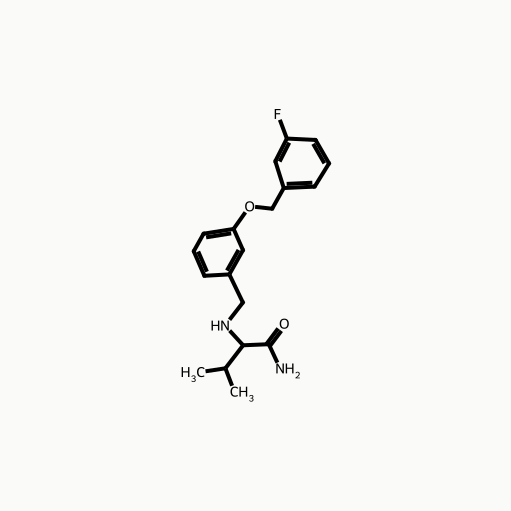 CC(C)C(NCc1cccc(OCc2cccc(F)c2)c1)C(N)=O